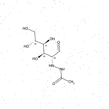 CC(=O)NN[C@@H](C=O)[C@@H](O)[C@H](O)[C@H](O)CO